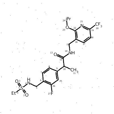 CCS(=O)(=O)NCc1ccc(C(C)C(=O)NCc2ccc(C(F)(F)F)nc2OC(C)C)cc1F